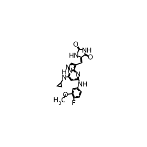 COc1cc(Nc2cc(NC3CC3)n3ncc(/C=C4\NC(=O)NC4=O)c3n2)ccc1F